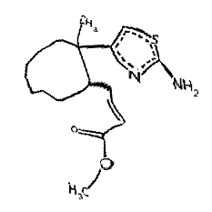 COC(=O)/C=C\C1CCCCC1(C)c1csc(N)n1